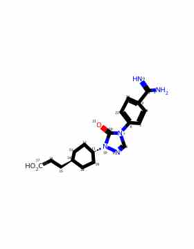 N=C(N)c1ccc(-n2cnn([C@H]3CC[C@H](CCC(=O)O)CC3)c2=O)cc1